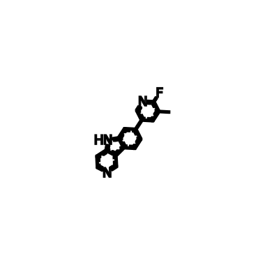 Cc1cc(-c2ccc3c(c2)[nH]c2ccncc23)cnc1F